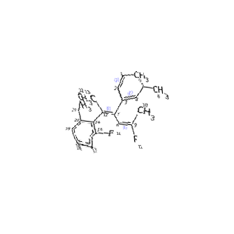 C\C=C/C(=C\CC)C(/C=C(\C)F)=C(\C)c1c(F)cccc1CC